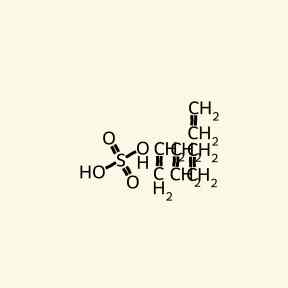 C=C.C=C.C=C.C=C.O=S(=O)(O)O